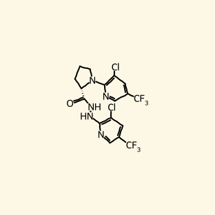 O=C(NNc1ncc(C(F)(F)F)cc1Cl)[C@@H]1CCCN1c1ncc(C(F)(F)F)cc1Cl